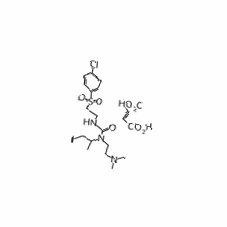 CC(CI)N(CCN(C)C)C(=O)NCCS(=O)(=O)c1ccc(Cl)cc1.O=C(O)C=CC(=O)O